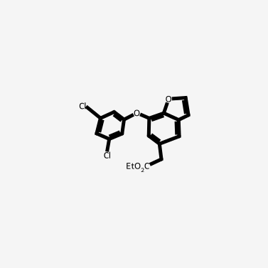 CCOC(=O)Cc1cc(Oc2cc(Cl)cc(Cl)c2)c2occc2c1